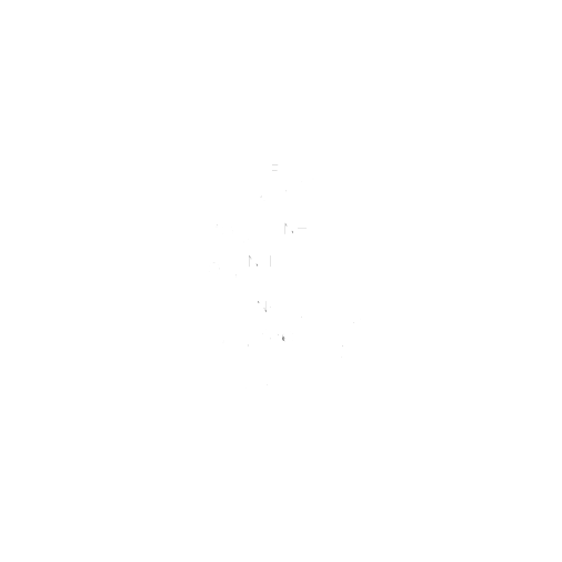 O=C(NC(=O)[C@@H]1CC(F)(F)CN1)c1ccc(C2CC2)c(OCC2CC2)n1